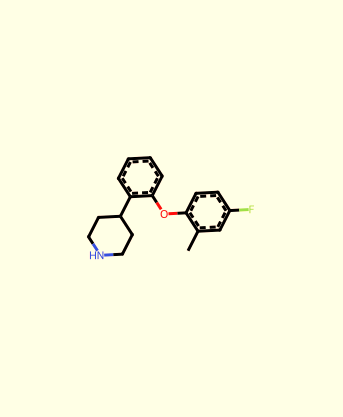 Cc1cc(F)ccc1Oc1ccccc1C1CCNCC1